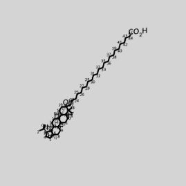 C=C(C)[C@@H]1CC[C@]2(C)CC[C@]3(C)[C@H](CC[C@@H]4[C@@]5(C)CCC(O)(CCCCCCCCCCCCCCCCCCCCCCCC(=O)O)C(C)(C)[C@@H]5CC[C@]43C)[C@@H]12